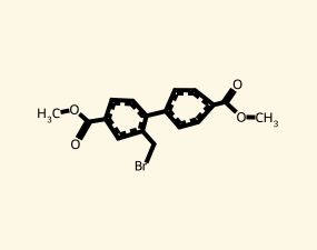 COC(=O)c1ccc(-c2ccc(C(=O)OC)cc2CBr)cc1